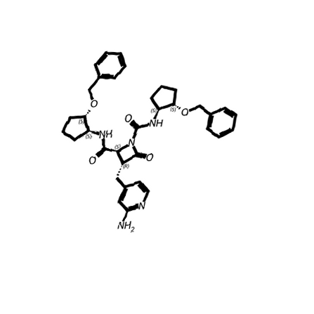 Nc1cc(C[C@H]2C(=O)N(C(=O)N[C@H]3CCC[C@@H]3OCc3ccccc3)[C@@H]2C(=O)N[C@H]2CCC[C@@H]2OCc2ccccc2)ccn1